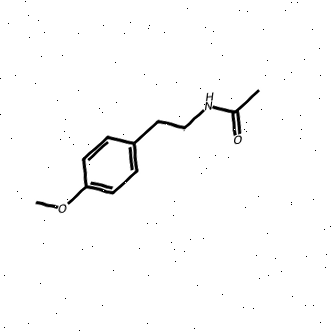 COc1ccc(C[CH]NC(C)=O)cc1